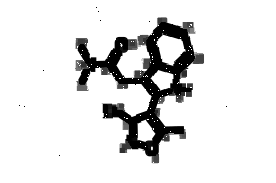 CCc1noc(C)c1-c1[nH]c2ccccc2c1CC(=O)N(C)C